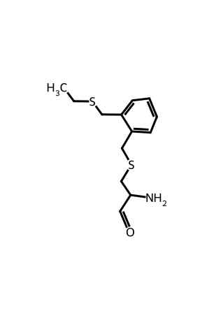 CCSCc1ccccc1CSCC(N)C=O